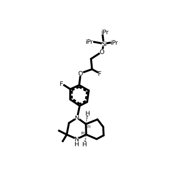 CC(C)[Si](OCC(F)Oc1ccc(N2CC(C)(C)N[C@@H]3CCCC[C@@H]32)cc1F)(C(C)C)C(C)C